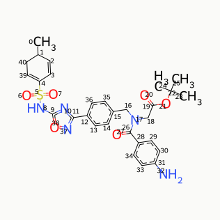 CC1C=CC(S(=O)(=O)Nc2nc(-c3ccc(CN(CC(=O)OC(C)(C)C)C(=O)c4ccc(N)cc4)cc3)no2)=CC1